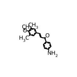 COc1c(C)cc(/C=C/C(=O)c2ccc(N)cc2)cc1C